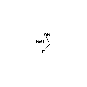 OCF.[NaH]